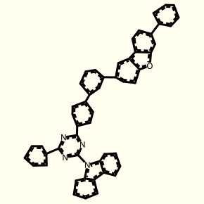 c1ccc(-c2ccc3c(c2)oc2ccc(-c4cccc(-c5ccc(-c6nc(-c7ccccc7)nc(-n7c8ccccc8c8ccccc87)n6)cc5)c4)cc23)cc1